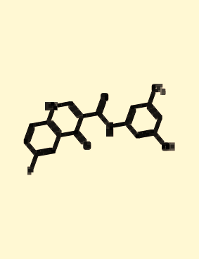 O=C(Nc1cc(O)cc(C(F)(F)F)c1)c1c[nH]c2ccc(F)cc2c1=O